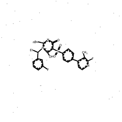 CCCCc1nc(=O)c(S(=O)(=O)c2ccc(-c3ccnc(F)c3C)cc2)c(O)n1C(CC)c1cccc(F)c1